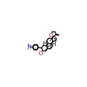 C=C1CCO[C@@]12CC[C@H]1[C@@H]3CCC4=CC(=O)C(c5ccc(N(C)C)cc5)C[C@@H]4[C@H]3CC[C@@]12C